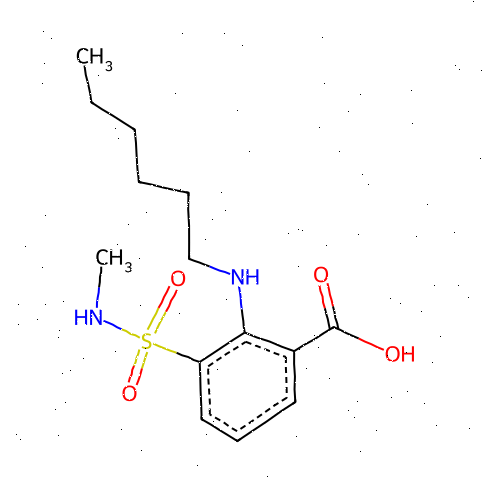 CCCCCCNc1c(C(=O)O)cccc1S(=O)(=O)NC